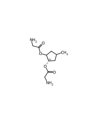 CC1CC(OC(=O)CN)[C@@H](OC(=O)CN)C1